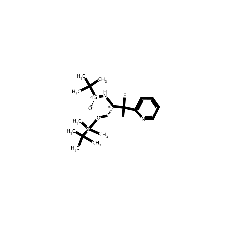 CC(C)(C)[S@@+]([O-])N[C@@H](CO[Si](C)(C)C(C)(C)C)C(F)(F)c1ccccn1